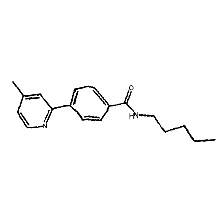 CCCCCNC(=O)c1ccc(-c2cc(C)ccn2)cc1